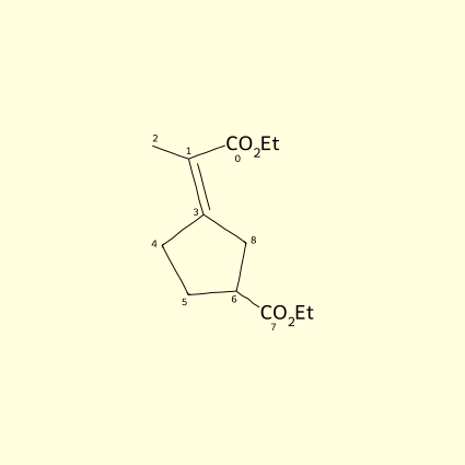 CCOC(=O)/C(C)=C1/CCC(C(=O)OCC)C1